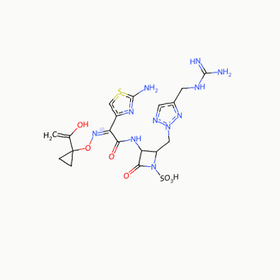 C=C(O)C1(O/N=C(\C(=O)NC2C(=O)N(S(=O)(=O)O)C2Cn2ncc(CNC(=N)N)n2)c2csc(N)n2)CC1